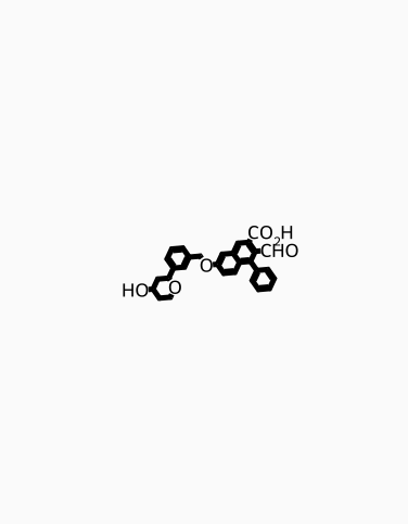 O=Cc1c(C(=O)O)cc2cc(OCc3cccc(C4CC(O)CCO4)c3)ccc2c1-c1ccccc1